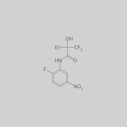 CCC(O)(C(=O)Nc1cc([N+](=O)[O-])ccc1F)C(F)(F)F